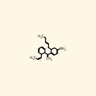 C=C(C1=CC=C(N)CC1CC=CCC)C1C=CC=CC1/C=C\C